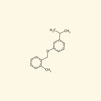 Cc1ccccc1COc1cccc(C(C)C)c1